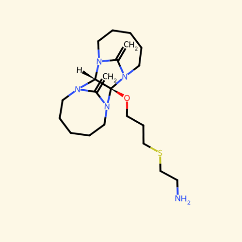 C=C1N2CCCCCN1[C@]1(OCCCSCCN)[C@H]2N2CCCCCN1C2=C